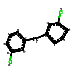 Clc1ccc[c]([Pt][c]2cccc(Cl)c2)c1